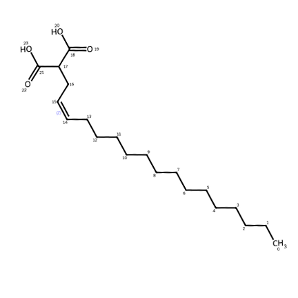 CCCCCCCCCCCCCC/C=C\CC(C(=O)O)C(=O)O